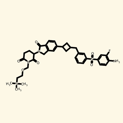 C[Si](C)(C)CCOCN1C(=O)CCC(N2Cc3cc(C4CC(Cc5cccc(S(=O)(=O)c6ccc(N)c(F)c6)c5)C4)ccc3C2=O)C1=O